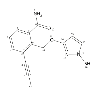 CC#Cc1cccc(C(N)=O)c1COc1ccn(S)n1